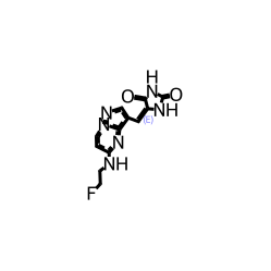 O=C1NC(=O)/C(=C\c2cnn3ccc(NCCF)nc23)N1